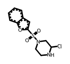 O=S(=O)(c1cc2ccccc2o1)N1CCNC(Cl)C1